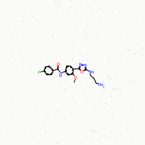 COc1cc(NC(=O)c2ccc(F)cc2)ccc1-c1nnc(NCCCN)o1